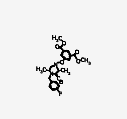 COC(=O)c1cc(OCN2C[C@H](C)N(Cc3ccc(F)cc3)C(=C=O)[C@H]2C)cc(C(=O)OC)c1